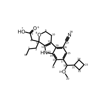 CCCC1(CC(=O)O)OCCc2c1[nH]c1c(C)c(C(OC)C3CCC3)cc(C#N)c21